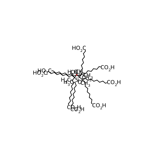 CC(CCCCCCCCC(=O)O)O[Si](C(C)CCCCCCCCC(=O)O)(C(C(C)CCCCCCCCC(=O)O)(C(C)CCCCCCCCC(=O)O)C(C)CCCCCCCCC(=O)O)C(C(C)CCCCCCCCC(=O)O)(C(C)CCCCCCCCC(=O)O)C(C)CCCCCCCCC(=O)O